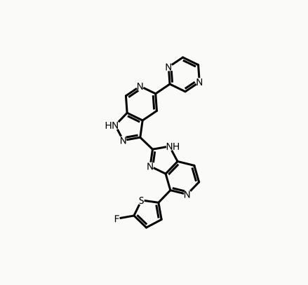 Fc1ccc(-c2nccc3[nH]c(-c4n[nH]c5cnc(-c6cnccn6)cc45)nc23)s1